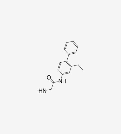 CCc1cc(NC(=O)C[NH])ccc1-c1ccccc1